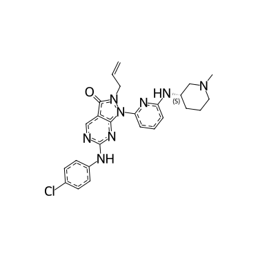 C=CCn1c(=O)c2cnc(Nc3ccc(Cl)cc3)nc2n1-c1cccc(N[C@H]2CCCN(C)C2)n1